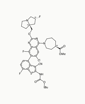 COC(=O)[C@@H]1CCCN(c2nc(OC[C@@]34CCCN3C[C@H](F)C4)nc3c(F)c(-c4ccc(F)c5sc(NC(=O)OC(C)(C)C)c(C#N)c45)c(Cl)cc23)CC1